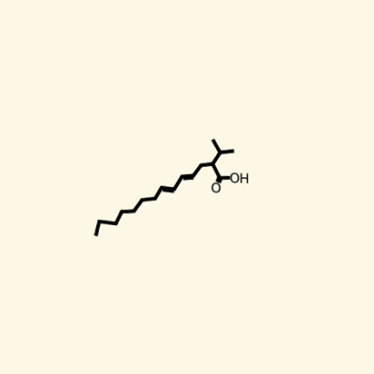 CCCCCCCC=CC=CCC(C(=O)O)C(C)C